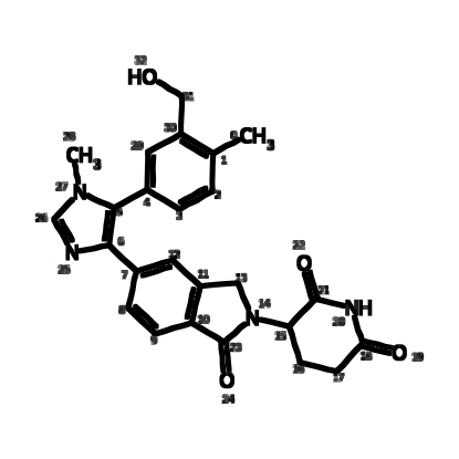 Cc1ccc(-c2c(-c3ccc4c(c3)CN(C3CCC(=O)NC3=O)C4=O)ncn2C)cc1CO